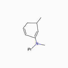 CC1C=C(N(C)C(C)C)C=CC1